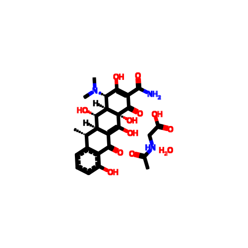 CC(=O)NCC(=O)O.C[C@H]1c2cccc(O)c2C(=O)C2=C(O)[C@]3(O)C(=O)C(C(N)=O)=C(O)[C@@H](N(C)C)[C@@H]3[C@@H](O)[C@@H]21.O